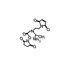 NC(O)N(CCN1C(=O)C=CC1=O)CC(=O)ON1C(=O)CCC1=O